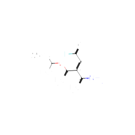 C=C(F)/C=C(/C(=C)N)C(=C)OC(C)OC